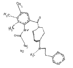 Cc1cc(C(=O)N2CCC(N(C)CCc3ccccc3)CC2)c(NC(N)=O)c(C)c1C.Cl